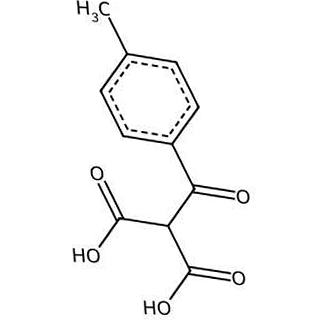 Cc1ccc(C(=O)C(C(=O)O)C(=O)O)cc1